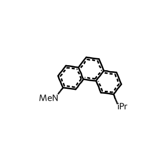 CNc1ccc2ccc3ccc(C(C)C)cc3c2c1